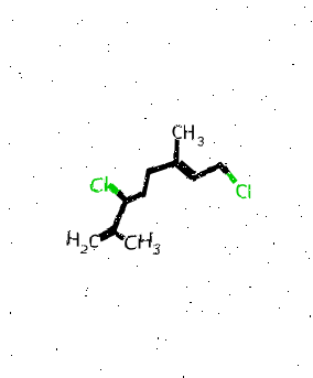 C=C(C)C(Cl)CCC(C)=CCCl